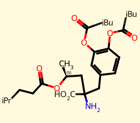 CCC(C)C(=O)Oc1ccc(CC(N)(C[C@H](C)OC(=O)CCC(C)C)C(=O)O)cc1OC(=O)C(C)CC